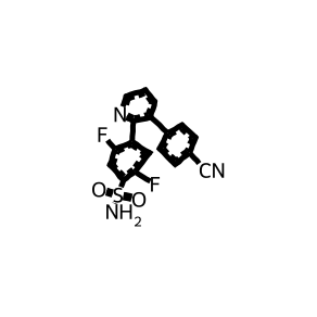 N#Cc1ccc(-c2cccnc2-c2cc(F)c(S(N)(=O)=O)cc2F)cc1